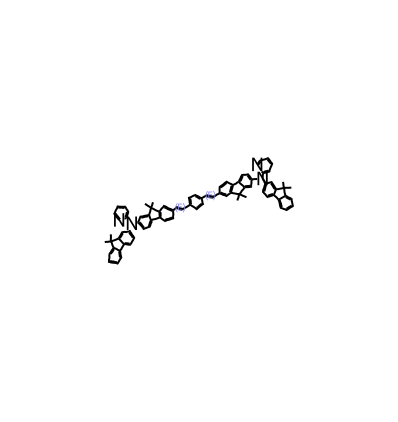 CC1(C)c2ccccc2-c2ccc(N(c3ccc4c(c3)C(C)(C)c3cc(/C=C/c5ccc(/C=C/c6ccc7c(c6)C(C)(C)c6cc(N(c8ccc9c(c8)C(C)(C)c8ccccc8-9)c8ccccn8)ccc6-7)cc5)ccc3-4)c3ccccn3)cc21